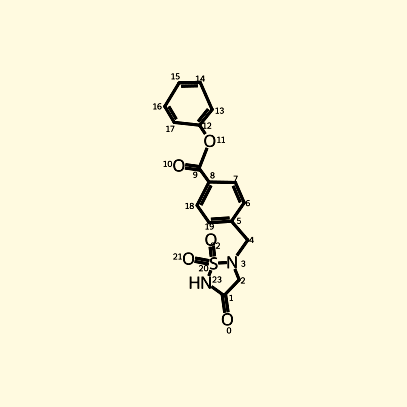 O=C1CN(Cc2ccc(C(=O)Oc3ccccc3)cc2)S(=O)(=O)N1